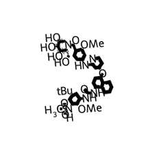 COc1cc(Nc2cc(Oc3ccc(NC(=O)Nc4cc(C(C)(C)C)cc(NS(C)(=O)=O)c4OC)c4ccccc34)ccn2)ccc1C(=O)N1C[C@@H](O)[C@@H](O)[C@H](O)[C@H]1CO